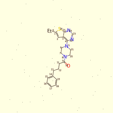 CCc1cc2c(N3CCN(C(=O)CCCc4ccccc4)CC3)ncnc2s1